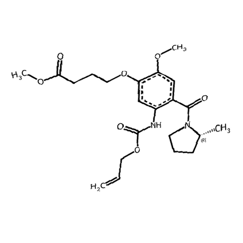 C=CCOC(=O)Nc1cc(OCCCC(=O)OC)c(OC)cc1C(=O)N1CCC[C@H]1C